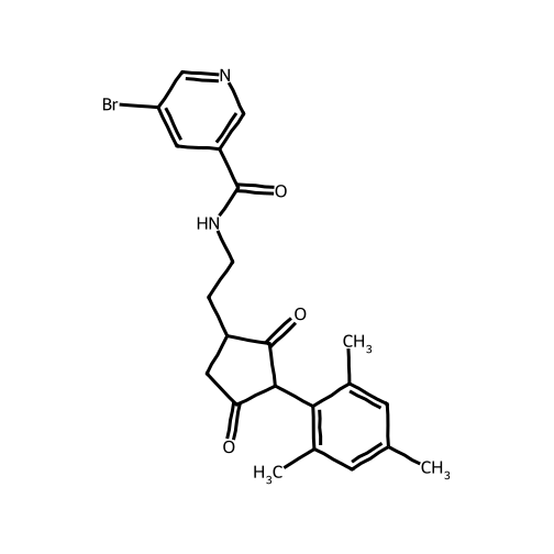 Cc1cc(C)c(C2C(=O)CC(CCNC(=O)c3cncc(Br)c3)C2=O)c(C)c1